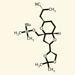 C[C@@H](C#N)C[C@H]1CC[C@@H]2O[C@@H]([C@H]3COC(C)(C)O3)C[C@]2(CO[Si](C)(C)C(C)(C)C)O1